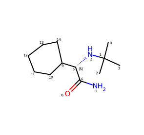 CC(C)(C)N[C@H](C(N)=O)C1CCCCC1